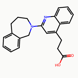 O=C(O)CCc1cc(N2CCCc3ccccc3C2)nc2ccccc12